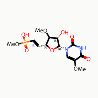 COc1cn([C@@H]2O[C@H](/C=C/P(=O)(O)OC)C(OC)[C@@H]2O)c(=O)[nH]c1=O